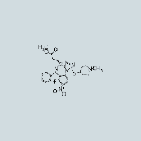 COC(=O)CC[C@@H]1N=C(c2ccccc2F)c2cc([N+](=O)[O-])ccc2-n2c(SC3CCN(C)CC3)nnc21